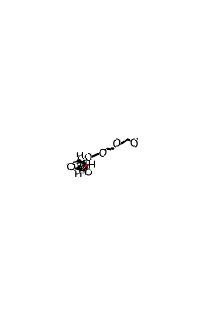 COCCOCCOCCO[C@H]1[C@@H]2O[C@@H]2[C@@H]2OC[C@H]1O2